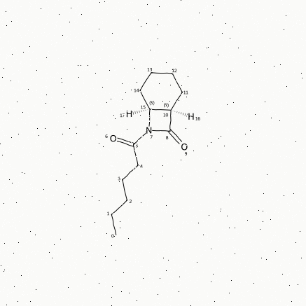 CCCCCC(=O)N1C(=O)[C@@H]2CCCC[C@@H]21